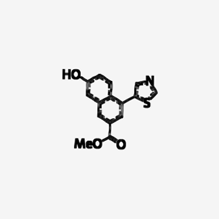 COC(=O)c1cc(-c2cncs2)c2ccc(O)cc2c1